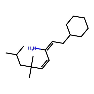 CC(C)CC(C)(C)/C=C\C(N)=C/CC1CCCCC1